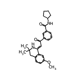 COc1ccc2c(c1)C(=CC(=O)c1cccc(C(=O)NC3CCCC3)c1)NC(C)(C)C2